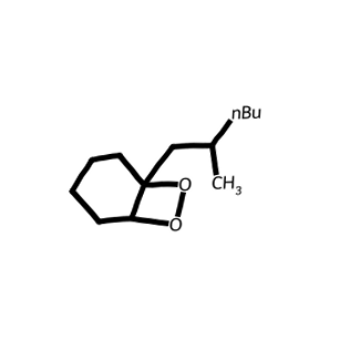 CCCCC(C)CC12CCCCC1OO2